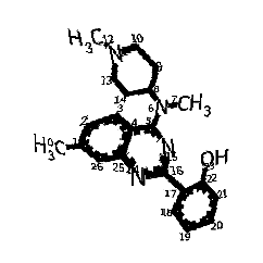 Cc1ccc2c(N(C)C3CCN(C)CC3)nc(-c3ccccc3O)nc2c1